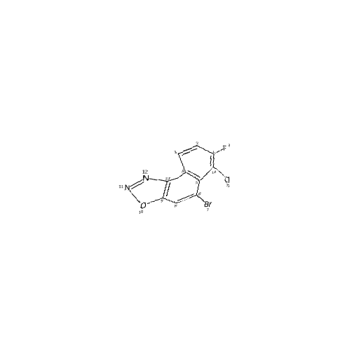 Fc1ccc2c(c(Br)cc3onnc32)c1Cl